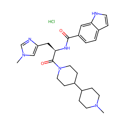 CN1CCC(C2CCN(C(=O)[C@@H](Cc3cn(C)cn3)NC(=O)c3ccc4cc[nH]c4c3)CC2)CC1.Cl